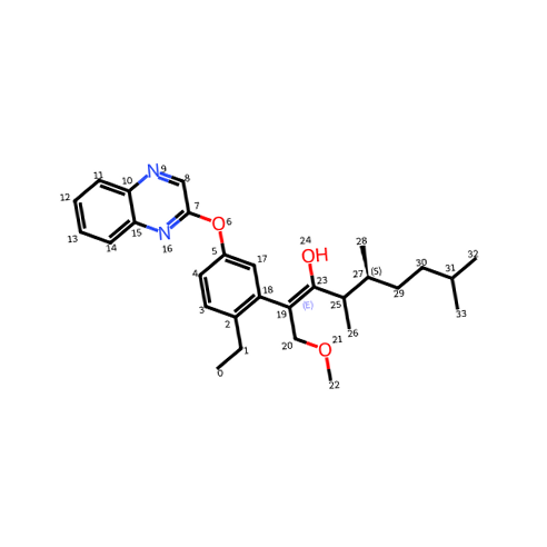 CCc1ccc(Oc2cnc3ccccc3n2)cc1/C(COC)=C(\O)C(C)[C@@H](C)CCC(C)C